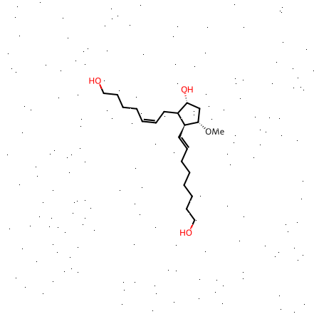 CO[C@H]1C[C@@H](O)C(C/C=C\CCCCO)[C@@H]1/C=C/CCCCCCO